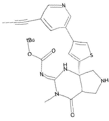 CC#Cc1cncc(-c2csc([C@]34CNCC3C(=O)N(C)/C(=N/C(=O)OC(C)(C)C)N4)c2)c1